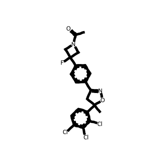 CC(=O)N1CC(F)(c2ccc(C3=NOC(C)(c4ccc(Cl)c(Cl)c4Cl)C3)cc2)C1